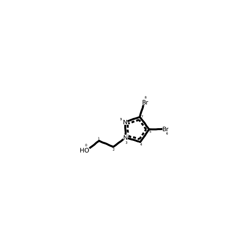 OCCn1cc(Br)c(Br)n1